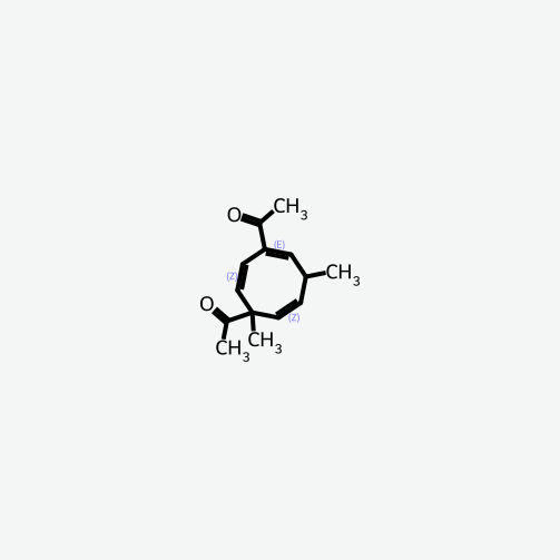 CC(=O)C1=C/C(C)/C=C\C(C)(C(C)=O)/C=C\1